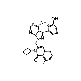 Cc1cccc2cc(CN3N=C(c4cccc(O)c4)C4C(N)=NC=NC43)n(C3CCC3)c(=O)c12